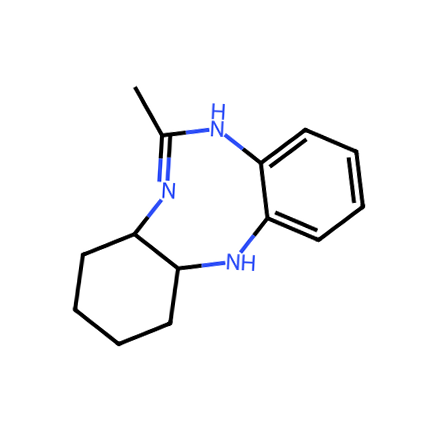 C/C1=N\C2CCCCC2Nc2ccccc2N1